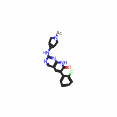 CC(=O)N1CC2C(C1)C2Nc1ncc2cc(-c3ccccc3Cl)c(=O)[nH]c2n1